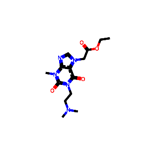 CCOC(=O)Cn1cnc2c1c(=O)n(CCN(C)C)c(=O)n2C